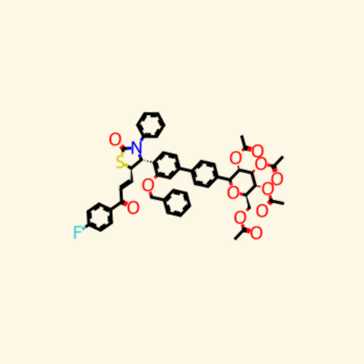 CC(=O)OC[C@H]1OC(c2ccc(-c3ccc([C@@H]4[C@@H](/C=C/C(=O)c5ccc(F)cc5)SC(=O)N4c4ccccc4)c(OCc4ccccc4)c3)cc2)[C@H](OC(C)=O)[C@@H](OC(C)=O)[C@@H]1OC(C)=O